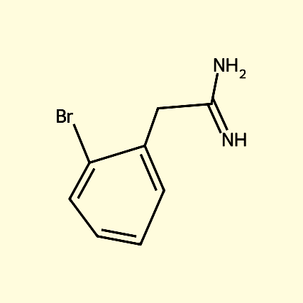 N=C(N)Cc1ccccc1Br